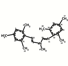 Cc1cc(C)c(N=CN(C)C=Nc2c(C)cc(C)cc2C)c(C)c1